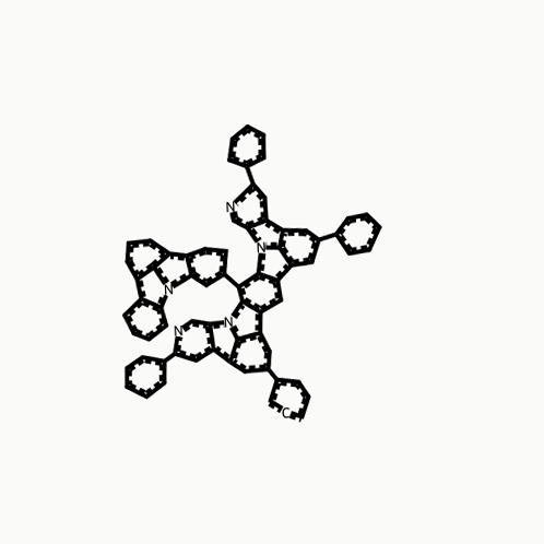 c1ccc(-c2cc3c4cc(-c5ccccc5)ncc4n4c5c(-c6ccc7c8cccc9c%10ccccc%10n(c7c6)c98)c6c(cc5c(c2)c34)c2cc(-c3ccccc3)cc3c4cc(-c5ccccc5)ncc4n6c32)cc1